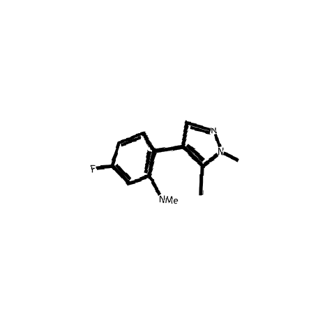 CNc1cc(F)ccc1-c1cnn(C)c1C